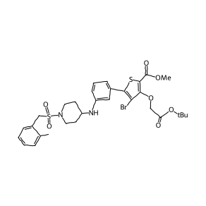 COC(=O)c1sc(-c2cccc(NC3CCN(S(=O)(=O)Cc4ccccc4C)CC3)c2)c(Br)c1OCC(=O)OC(C)(C)C